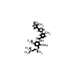 COc1c(CN(C)CCN(C)C)cc(OC(F)(F)F)cc1NC(=O)c1ccc(C)c(-n2cc(-c3cnn(C)c3C)nn2)c1